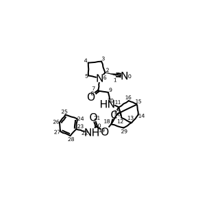 N#C[C@@H]1CCCN1C(=O)CNC12CC3CC(C1)CC(OC(=O)Nc1ccccc1)(C3)C2